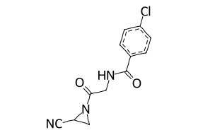 N#CC1CN1C(=O)CNC(=O)c1ccc(Cl)cc1